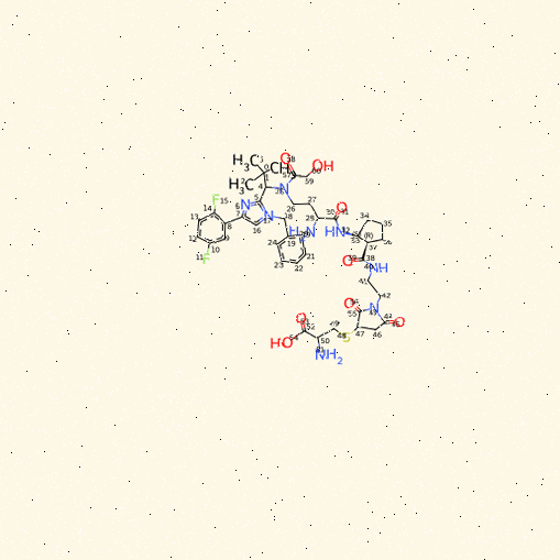 CC(C)(C)C(c1nc(-c2cc(F)ccc2F)cn1Cc1ccccc1)N(CCC(N)C(=O)N[C@H]1CCC[C@H]1C(=O)NCCN1C(=O)CC(SCC(N)C(=O)O)C1=O)C(=O)CO